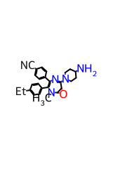 CCc1ccc(C2=C(c3ccc(C#N)cc3)N=C(N3CCC(N)CC3)C3OC3N2C)cc1